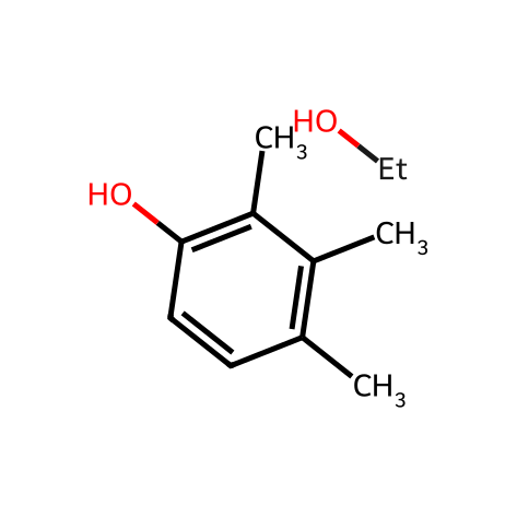 CCO.Cc1ccc(O)c(C)c1C